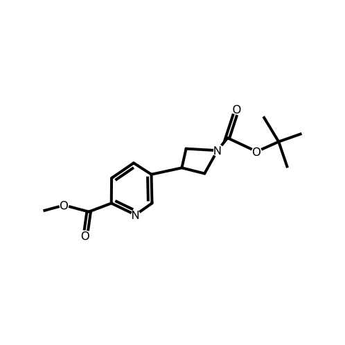 COC(=O)c1ccc(C2CN(C(=O)OC(C)(C)C)C2)cn1